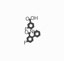 O=C(O)c1ccc(NC(=O)c2cc(F)ccc2-c2ccccc2)c(F)c1